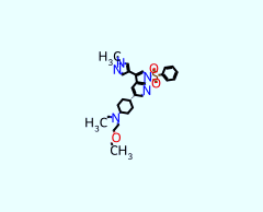 CCOCCN(CC)[C@H]1CC[C@H](c2cnc3c(c2)c(-c2cnn(C)c2)cn3S(=O)(=O)c2ccccc2)CC1